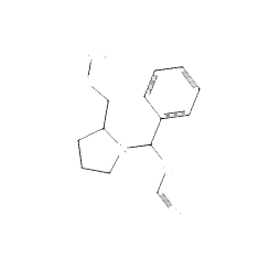 CSCC1CCCN1C(OC=O)c1ccccc1